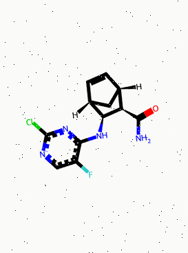 NC(=O)[C@H]1[C@@H](Nc2nc(Cl)ncc2F)[C@@H]2C=C[C@H]1C2